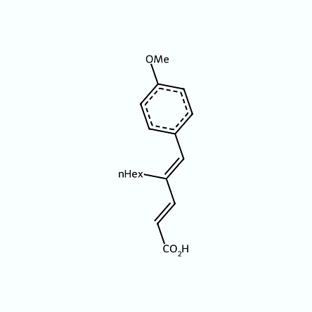 CCCCCCC(/C=C/C(=O)O)=C\c1ccc(OC)cc1